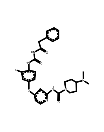 CN(C)C1CCN(C(=O)Nc2cc(Oc3ccc(NC(=O)NC(=O)Cc4ccccc4)c(F)c3)ccn2)CC1